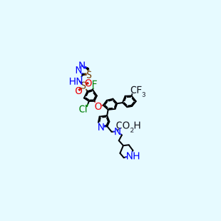 O=C(O)N(CCC1CCNCC1)Cc1cc(-c2cc(-c3cccc(C(F)(F)F)c3)ccc2Oc2cc(F)c(S(=O)(=O)Nc3nncs3)cc2Cl)ccn1